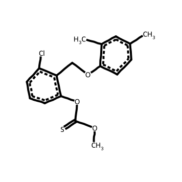 COC(=S)Oc1cccc(Cl)c1COc1ccc(C)cc1C